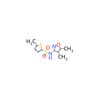 Cc1ccc(S(=O)(=O)Nc2noc(C)c2C)s1